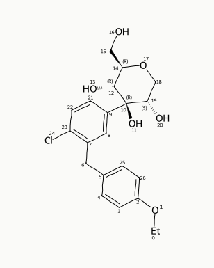 CCOc1ccc(Cc2cc([C@]3(O)[C@H](O)[C@@H](CO)OC[C@@H]3O)ccc2Cl)cc1